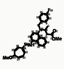 COC(=O)CC(C)N(Cc1ccc(F)cc1)c1ccc(NSC2=CC=CC(OC)C=C2)c2ccccc12